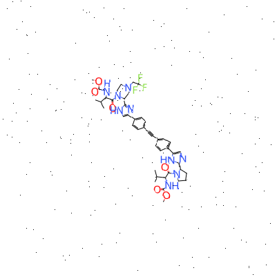 COC(=O)NC(C(=O)N1CCN(CC(F)(F)F)CC1c1nc(-c2ccc(C#Cc3ccc(-c4cnc(C5CCCN5C(=O)C(NC(=O)OC)C(C)C)[nH]4)cc3)cc2)c[nH]1)C(C)C